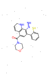 N=Nc1c(-c2ccccc2S)cc(C(=O)N2CCOCC2)c2c1NCC=C2